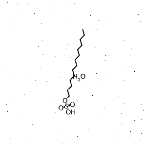 CCCCCCCCCCCCCCOS(=O)(=O)O.O